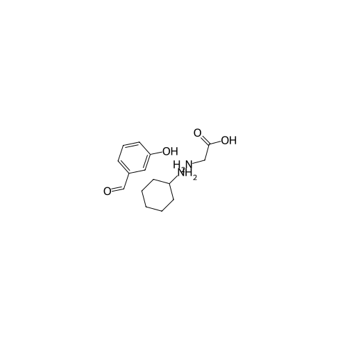 NC1CCCCC1.NCC(=O)O.O=Cc1cccc(O)c1